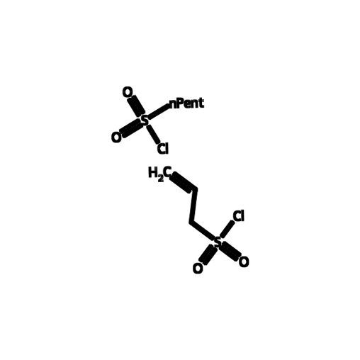 C=CCS(=O)(=O)Cl.CCCCCS(=O)(=O)Cl